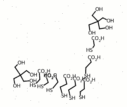 O=C(O)CCS.O=C(O)CCS.O=C(O)CCS.O=C(O)CCS.O=C(O)CS.O=C(O)CS.O=C(O)CS.O=C(O)CS.OCC(CO)(CO)CO.OCC(CO)(CO)CO